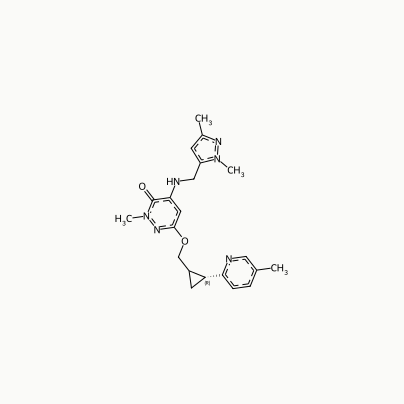 Cc1ccc([C@@H]2CC2COc2cc(NCc3cc(C)nn3C)c(=O)n(C)n2)nc1